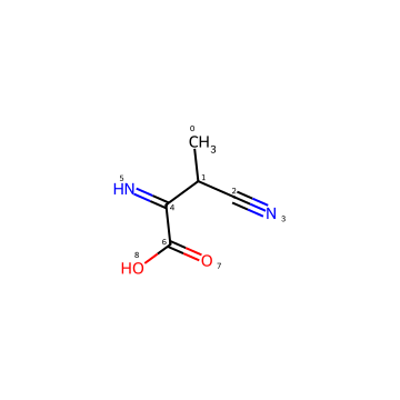 CC(C#N)C(=N)C(=O)O